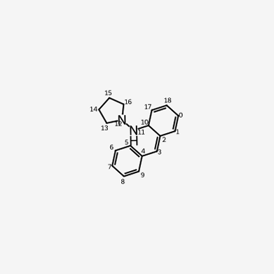 C1=CC(=Cc2ccccc2)C(NN2CCCC2)C=C1